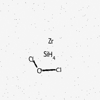 ClOCl.[SiH4].[Zr]